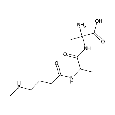 CPCCCC(=O)NC(C)C(=O)NC(C)(N)C(=O)O